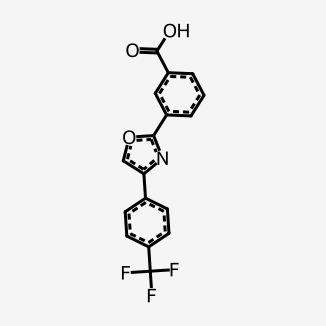 O=C(O)c1cccc(-c2nc(-c3ccc(C(F)(F)F)cc3)co2)c1